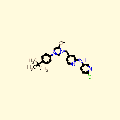 CC1=CN(c2ccc(C(C)(C)C)cc2)CN1Cc1ccnc(Nc2ccc(Cl)nc2)c1